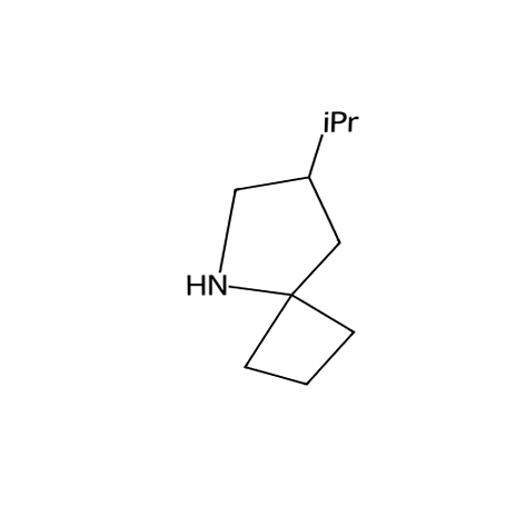 CC(C)C1CNC2(CCC2)C1